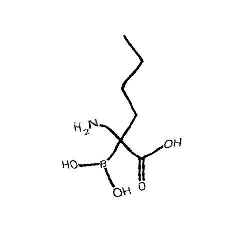 CCCCC(N)(B(O)O)C(=O)O